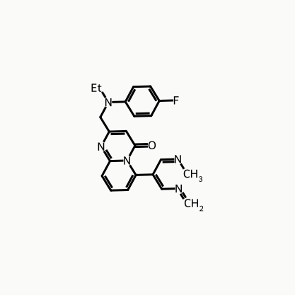 C=N/C=C(\C=N/C)c1cccc2nc(CN(CC)c3ccc(F)cc3)cc(=O)n12